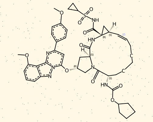 COc1ccc(-c2cc(O[C@@H]3C[C@H]4C(=O)N[C@]5(C(=O)NS(=O)(=O)C6CC6)C[C@H]5/C=C\CCCCC[C@H](NC(=O)OC5CCCC5)C(=O)N4C3)n3nc4cccc(OC)c4c3n2)cc1